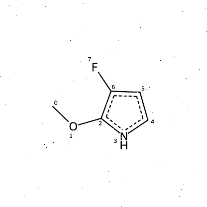 COc1[nH]ccc1F